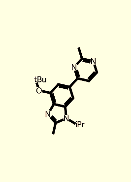 Cc1nccc(-c2cc(OC(C)(C)C)c3nc(C)n(C(C)C)c3c2)n1